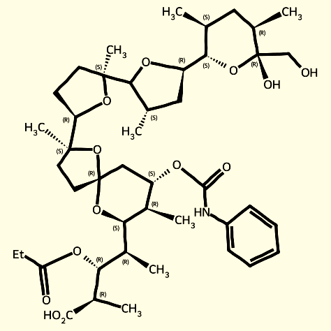 CCC(=O)O[C@H]([C@H](C)[C@H]1O[C@@]2(CC[C@@](C)([C@H]3CC[C@@](C)(C4O[C@@H]([C@H]5O[C@@](O)(CO)[C@H](C)C[C@@H]5C)C[C@@H]4C)O3)O2)C[C@H](OC(=O)Nc2ccccc2)[C@H]1C)[C@@H](C)C(=O)O